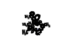 Cc1cc(C)cc(NC(=O)OC2/C=C/C(Cc3cc(C)cc(NC(=O)OC4CCCCCC5C(c6ccccc6N)=NN=C(c6ccccc6N)C45)c3)CCCC2)c1